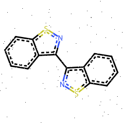 [c]1cccc2snc(-c3nsc4ccccc34)c12